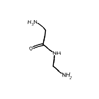 NCNC(=O)CN